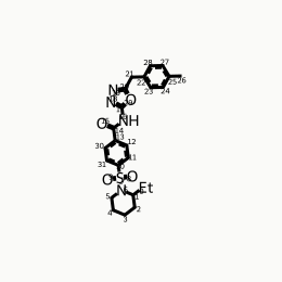 CCC1CCCCN1S(=O)(=O)c1ccc(C(=O)Nc2nnc(Cc3ccc(C)cc3)o2)cc1